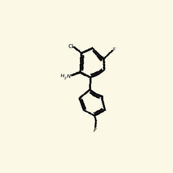 Nc1c(Cl)cc(F)cc1-c1ccc(F)cc1